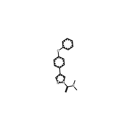 C=C(N(C)C)n1cc(-c2ccc(Oc3ccccc3)cc2)cn1